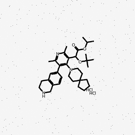 Cc1nc(C)c(C(OC(C)(C)C)C(=O)OC(C)C)c(N2CCC3(CCCC3)CC2)c1-c1ccc2c(c1)CCNC2.Cl.Cl